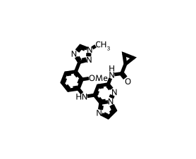 COc1c(Nc2cc(NC(=O)C3CC3)nn3ccnc23)cccc1-c1ncn(C)n1